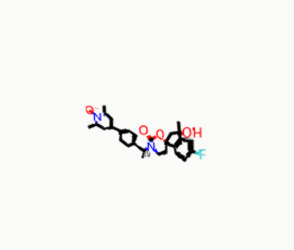 Cc1cc(-c2ccc([C@H](C)N3CCC(CC(C)(C)O)(c4ccc(F)cc4)OC3=O)cc2)cc(C)[n+]1[O-]